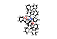 c1ccc(C2(c3ccccc3)c3ccccc3-c3ccc(N(c4cccc5c4oc4ccccc45)c4cccc5c4oc4c(C6(c7ccccc7)c7ccccc7-c7ccccc76)cccc45)cc32)cc1